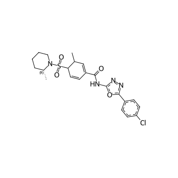 CC1C=C(C(=O)Nc2nnc(-c3ccc(Cl)cc3)o2)C=CC1S(=O)(=O)N1CCCC[C@H]1C